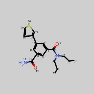 CCCN(CCC)C(=O)c1cc(C(N)=O)cc(-c2ccsc2)c1